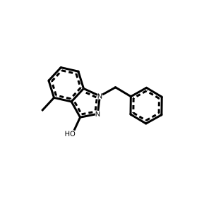 Cc1cccc2c1c(O)nn2Cc1ccccc1